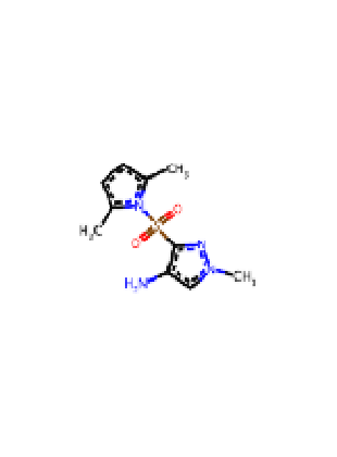 Cc1ccc(C)n1S(=O)(=O)c1nn(C)cc1N